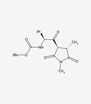 CC(C)[C@H](NC(=O)OC(C)(C)C)C(=O)[C@@H]1C(=O)N(C)C(=O)[C@H]1C